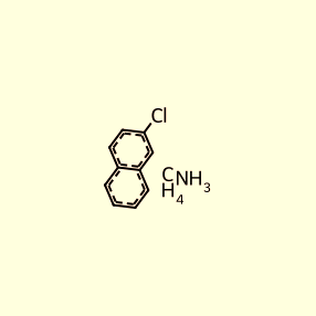 C.Clc1ccc2ccccc2c1.N